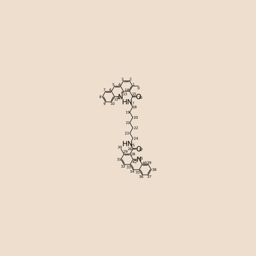 Cc1ccc2cc3ccccc3nc2c1C(=O)NCCCCCCCNC(=O)c1c(C)ccc2cc3ccccc3nc12